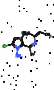 C/C=C(C)\N=C(/c1c(C(F)(F)F)cc(Cl)n1N)C(C)C